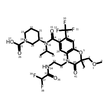 COCC1(C)Oc2cc(C(F)(F)F)c(C(=O)N(C(C)C)[C@@H]3CCCN(C(=O)O)C3)cc2N(CCNC(=O)C(F)F)C1=O